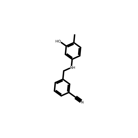 Cc1ccc(NCc2cccc(C#N)c2)cc1O